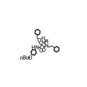 CCCCOc1ccc(NC(=O)[C@](N)(COCc2ccccc2)C(=O)NCCc2ccccc2)cc1